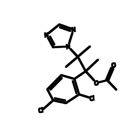 CC(=O)OC(C)(c1ccc(Cl)cc1Cl)C(C)(C)n1cncn1